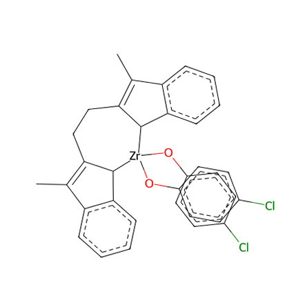 CC1=C2CCC3=C(C)c4ccccc4[CH]3[Zr]([O]c3ccc(Cl)cc3)([O]c3ccc(Cl)cc3)[CH]2c2ccccc21